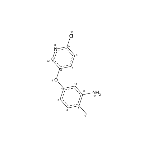 Cc1ccc(Oc2ccc(Cl)nn2)cc1N